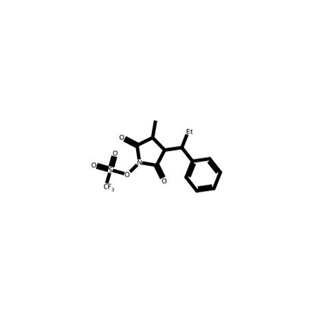 CCC(c1ccccc1)C1C(=O)N(OS(=O)(=O)C(F)(F)F)C(=O)C1C